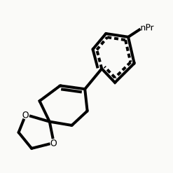 CCCc1ccc(C2=CCC3(CC2)OCCO3)cc1